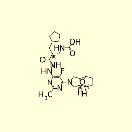 Cc1nc(NNC(=O)[C@@H](CNC(=O)O)CC2CCCC2)c(F)c(N2CC3C4CC[C@@H](O4)[C@@H]3C2)n1